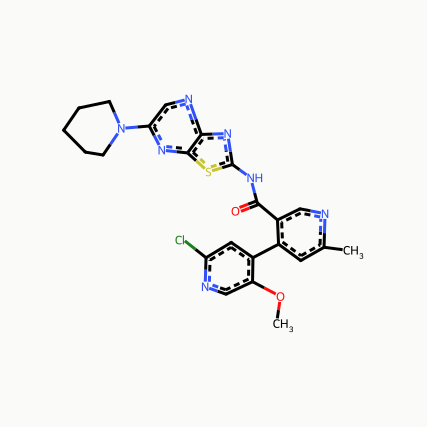 COc1cnc(Cl)cc1-c1cc(C)ncc1C(=O)Nc1nc2ncc(N3CCCCC3)nc2s1